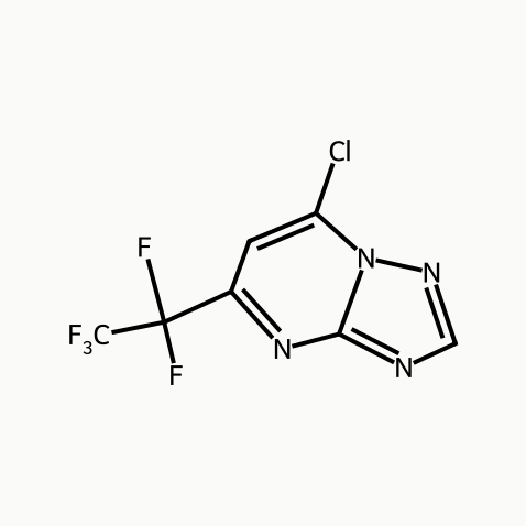 FC(F)(F)C(F)(F)c1cc(Cl)n2ncnc2n1